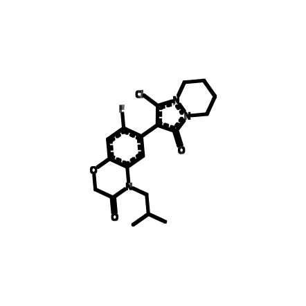 CC(C)CN1C(=O)COc2cc(F)c(-c3c(Cl)n4n(c3=O)CCCC4)cc21